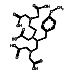 COc1ccc(CC(CN(CC(=O)O)CC(=O)O)N(CCN(CC(=O)O)CC(=O)O)CC(=O)O)cc1